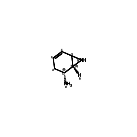 N[C@@H]1CC=CC2N[C@@H]21